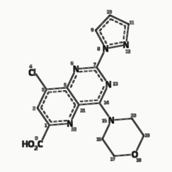 O=C(O)c1cc(Cl)c2nc(-n3cccn3)nc(N3CCOCC3)c2n1